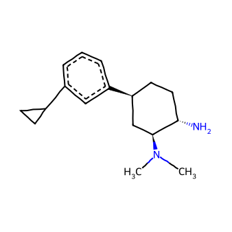 CN(C)[C@H]1C[C@@H](c2cccc(C3CC3)c2)CC[C@@H]1N